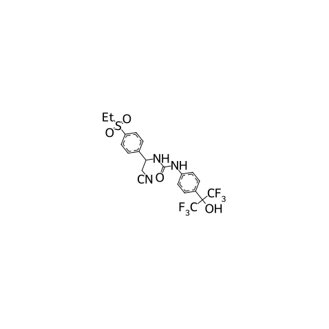 CCS(=O)(=O)c1ccc(C(CC#N)NC(=O)Nc2ccc(C(O)(C(F)(F)F)C(F)(F)F)cc2)cc1